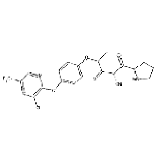 CC(Oc1ccc(Oc2ncc(C(F)(F)F)cc2Cl)cc1)C(=O)C(C#N)C(=O)C1CCCN1